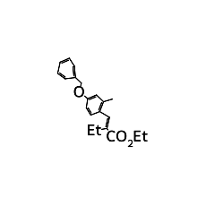 CCOC(=O)C(=Cc1ccc(OCc2ccccc2)cc1C)CC